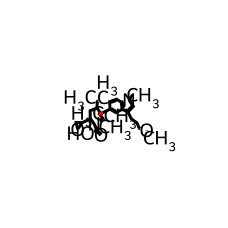 COCCCc1cn(C)c2ccc(CC(CC(C3CO3)N(C(=O)O)C(C)(C)C)C(C)C)cc12